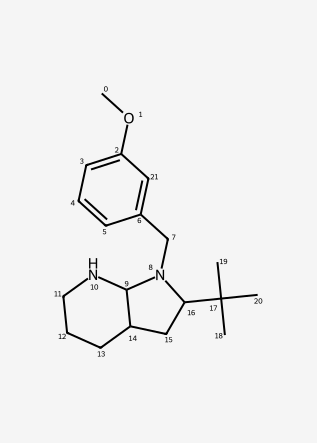 COc1cccc(CN2C3NCCCC3CC2C(C)(C)C)c1